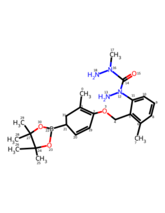 CC1=C(OCc2c(C)cccc2N(N)C(=O)N(C)N)C=CC(B2OC(C)(C)C(C)(C)O2)C1